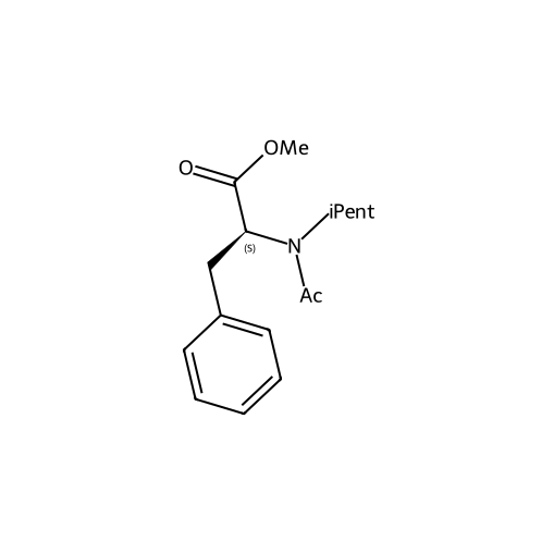 CCCC(C)N(C(C)=O)[C@@H](Cc1ccccc1)C(=O)OC